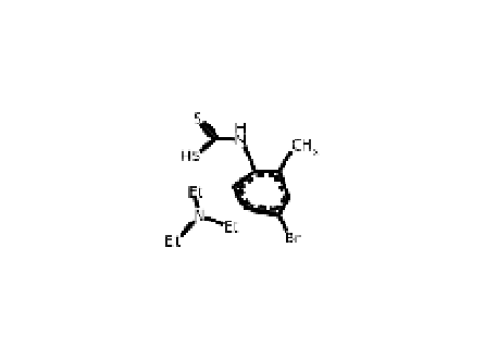 CCN(CC)CC.Cc1cc(Br)ccc1NC(=S)S